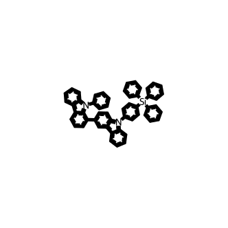 c1ccc(-n2c3ccccc3c3cccc(-c4ccc5c(c4)c4ccccc4n5-c4ccc([Si](c5ccccc5)(c5ccccc5)c5ccccc5)cc4)c32)cc1